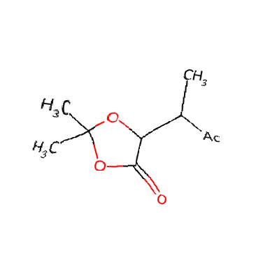 CC(=O)C(C)C1OC(C)(C)OC1=O